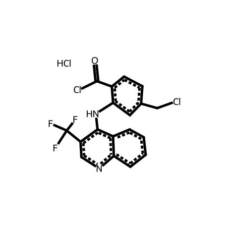 Cl.O=C(Cl)c1ccc(CCl)cc1Nc1c(C(F)(F)F)cnc2ccccc12